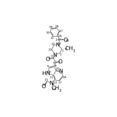 C[C@@H]1CN(C(=O)C(=O)c2c[nH]c3c(N(C)C=O)ccnc23)CCN1C(=O)c1ccccc1